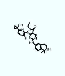 CCn1c(=O)c2cnc(Nc3ccc4c(c3)CCNC4(C)C)nc2n1-c1nc(C2(O)CC2)ccc1F